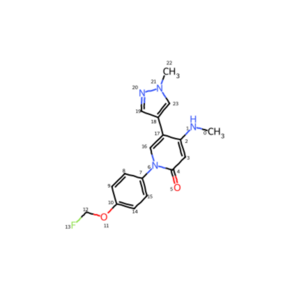 CNc1cc(=O)n(-c2ccc(OCF)cc2)cc1-c1cnn(C)c1